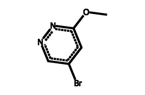 COc1cc(Br)cnn1